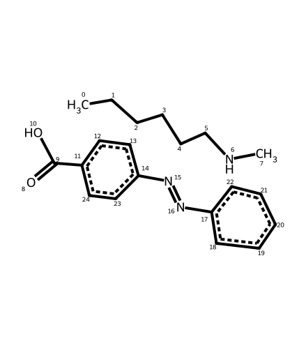 CCCCCCNC.O=C(O)c1ccc(N=Nc2ccccc2)cc1